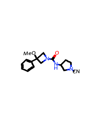 COC1(c2ccccc2)CN(C(=O)NC2CCN(C#N)C2)C1